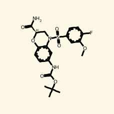 COc1cc(S(=O)(=O)N2C[C@H](C(N)=O)Oc3ccc(NC(=O)OC(C)(C)C)cc32)ccc1F